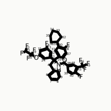 O=C(NC(Cc1ccccc1)(c1cc(F)cc(OC(F)(F)C(F)F)c1)c1ccc(F)c(C2CCCCC2)c1)c1ccc(F)c(C(F)(F)F)c1